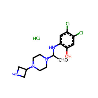 Cl.O=CC(Nc1cc(Cl)c(Cl)cc1O)N1CCN(C2CNC2)CC1